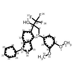 COc1ccc(SCC(O)(c2ccc3c(cnn3-c3ccccc3)c2)C(F)(F)F)cc1OC